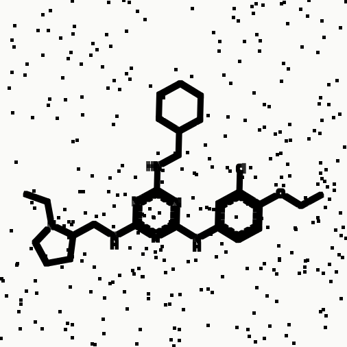 CCOc1ccc(Nc2nc(NCC3CCCCC3)nc(NCC3CCCN3CC)n2)cc1Cl